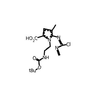 C=N/C(Cl)=N\c1c(C)cc(C(=O)O)n1CCNC(=O)OC(C)(C)C